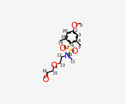 COc1cc(C)c(S(=O)(=O)N(C)CCOCC=O)c(C)c1